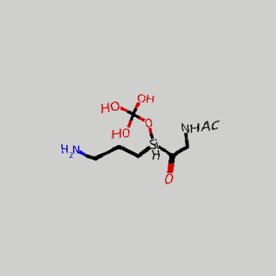 CC(=O)NCC(=O)[SiH](CCCN)OC(O)(O)O